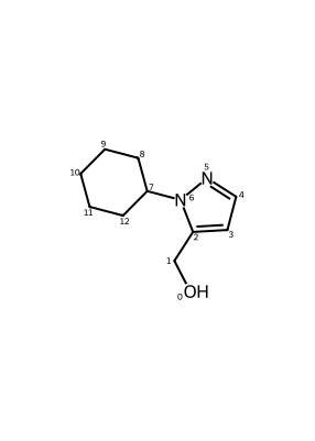 OCc1ccnn1C1CCCCC1